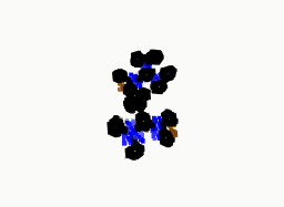 c1ccc(-c2nc(-c3ccccc3)nc(-c3cc(-c4nc5c6c(cccc6n4)Sc4ccccc4-5)cc(-c4cc5ccccc5c5c(-c6cc7c8c(nc(-c9cc(-n%10c%11ccccc%11c%11ccccc%11%10)cc(-n%10c%11ccccc%11c%11ccccc%11%10)c9)nc8c6)-c6ccccc6S7)cccc45)c3)n2)cc1